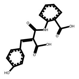 O=C(O)C(=Cc1ccc(O)cc1)C(=O)Nc1ccccc1C(=O)O